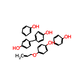 C=CCOc1ccc(O)cc1.Oc1ccc(-c2ccc(O)cc2)cc1.Oc1ccccc1.Oc1ccccc1